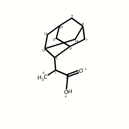 CC(C(=O)O)C1C2CC3CC(C2)CC1C3